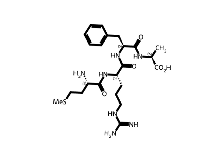 CSCC[C@H](N)C(=O)N[C@@H](CCCNC(=N)N)C(=O)N[C@@H](Cc1ccccc1)C(=O)N[C@@H](C)C(=O)O